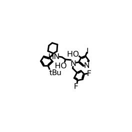 CC(C)(C)c1cccc(C2(NCC(O)CN(Cc3cc(F)cc(F)c3)c3cncc(I)c3O)CCCCC2)c1